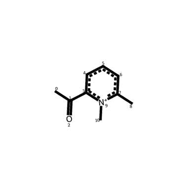 CC(=O)c1cccc(C)[n+]1C